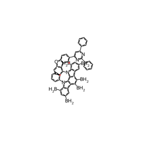 Bc1cc(B)c2c(c1)c1c(B)c(B)c3c4cc(B)cc(B)c4n(-c4cccc5oc6ccc(-c7cc(-c8ccccc8)nc(-c8ccccc8)n7)cc6c45)c3c1n2-c1ccccc1